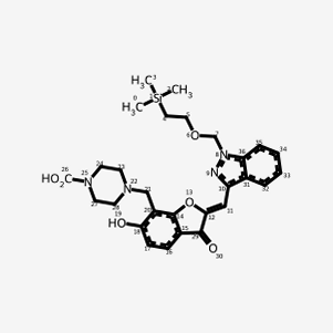 C[Si](C)(C)CCOCn1nc(/C=C2\Oc3c(ccc(O)c3CN3CCN(C(=O)O)CC3)C2=O)c2ccccc21